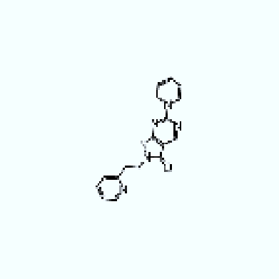 O=c1c2cnc(N3C=CC=CC3)nc2sn1CCc1ccccn1